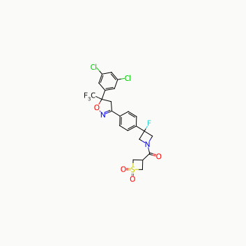 O=C(C1CS(=O)(=O)C1)N1CC(F)(c2ccc(C3=NOC(c4cc(Cl)cc(Cl)c4)(C(F)(F)F)C3)cc2)C1